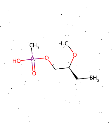 BC[C@@H](COP(C)(=O)O)OC